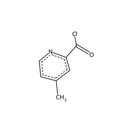 Cc1ccnc(C(=O)Cl)c1